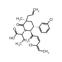 C=CC[C@@]1(C)C[C@H](c2cccc(Cl)c2)[C@@H](C(=C)/C=C\C(Cl)=C/C)N(C(CC)C(=O)O)C1=O